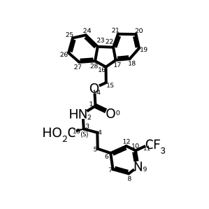 O=C(N[C@@H](CCc1ccnc(C(F)(F)F)c1)C(=O)O)OCC1c2ccccc2-c2ccccc21